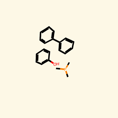 CP(C)C.Oc1ccccc1.c1ccc(-c2ccccc2)cc1